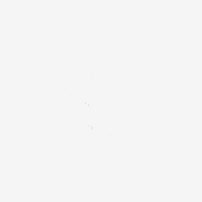 CC(C)(C)OC(=O)N1C(=O)NC(C)(C)C1c1ccccc1F